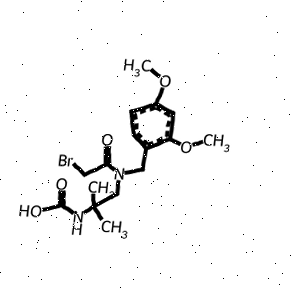 COc1ccc(CN(CC(C)(C)NC(=O)O)C(=O)CBr)c(OC)c1